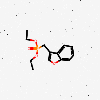 CCOP(=O)(Cc1coc2ccccc12)OCC